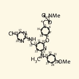 CNS(=O)(=O)Cc1ccc(Oc2cc(CNc3ncc(Cl)cn3)cc(N(C)c3ccc(OC)cc3)n2)cc1